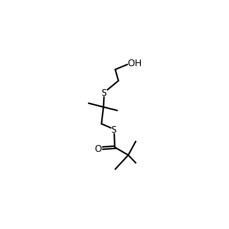 CC(C)(CSC(=O)C(C)(C)C)SCCO